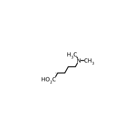 CN(C)CCC[CH]C(=O)O